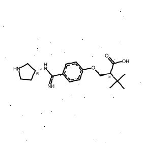 CC(C)(C)[C@@H](COc1ccc(C(=N)N[C@@H]2CCNC2)cc1)C(=O)O